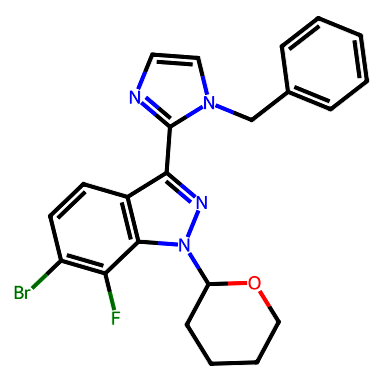 Fc1c(Br)ccc2c(-c3nccn3Cc3ccccc3)nn(C3CCCCO3)c12